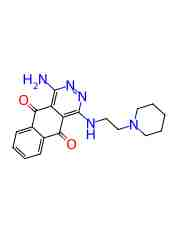 Nc1nnc(NCCN2CCCCC2)c2c1C(=O)c1ccccc1C2=O